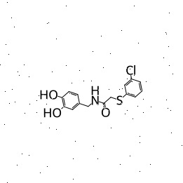 O=C(CSc1cccc(Cl)c1)NCc1ccc(O)c(O)c1